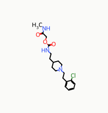 CNC(=O)COC(=O)NCCC1CCN(CCc2ccccc2Cl)CC1